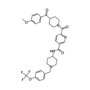 COc1ccc(C(=O)C2CCN(C(=O)c3ccc(C(=O)NC4CCN(Cc5ccc(OC(F)(F)F)cc5)CC4)cn3)CC2)cc1